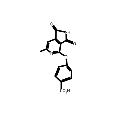 Cc1cc2c(c(Oc3ccc(C(=O)O)cc3)n1)C(=O)NC2=O